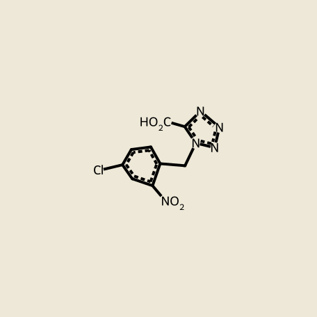 O=C(O)c1nnnn1Cc1ccc(Cl)cc1[N+](=O)[O-]